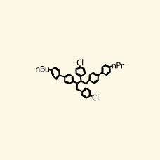 CCCCc1ccc(-c2ccc(C(Cc3ccc(Cl)cc3)C(Cc3ccc(-c4ccc(CCC)cc4)cc3)c3ccc(Cl)cc3)cc2)cc1